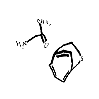 NC(N)=O.c1cc2cc(c1)SC2